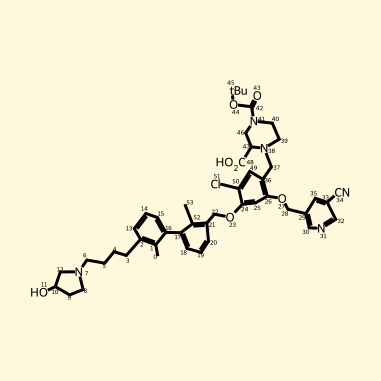 Cc1c(CCCCN2CCC(O)C2)cccc1-c1cccc(COc2cc(OCc3cncc(C#N)c3)c(CN3CCN(C(=O)OC(C)(C)C)CC3C(=O)O)cc2Cl)c1C